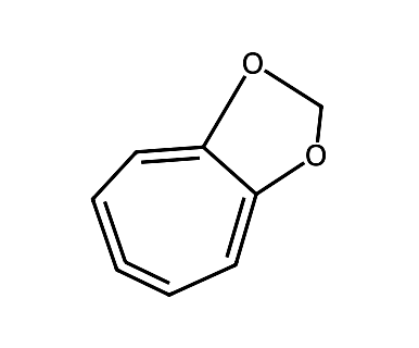 C1=CC=C2OCOC2=CC=1